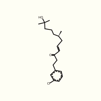 C[C@@H](C/C=C/C(=O)CCc1cccc(Cl)c1)CCCC(C)(C)O